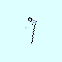 CCCCCCCCCCCCC[N+](C)(CC)Cc1ccccc1.[Cl-]